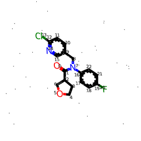 O=C(C1CCOC1)N(Cc1ccc(Cl)nc1)c1ccc(F)cc1